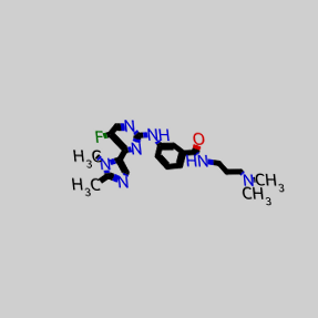 Cc1ncc(-c2nc(Nc3cccc(C(=O)NCCCN(C)C)c3)ncc2F)n1C